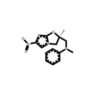 CN(C[C@@]1(C)Cn2cc([N+](=O)[O-])nc2O1)c1ccccc1